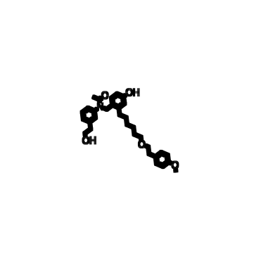 COc1ccc(CCOCCCCCCc2cc(O)ccc2CN(C(C)=O)c2cccc(CCO)c2)cc1